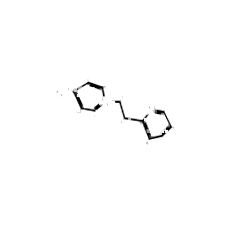 N#Cc1cc[n+](CCc2ccccn2)cc1